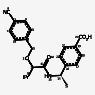 CC(C)C(OCc1ccc(C#N)cc1)C(=O)N[C@@H](C)c1ccc(C(=O)O)cc1